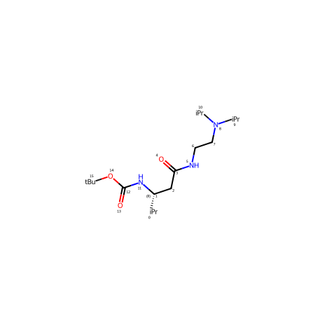 CC(C)[C@@H](CC(=O)NCCN(C(C)C)C(C)C)NC(=O)OC(C)(C)C